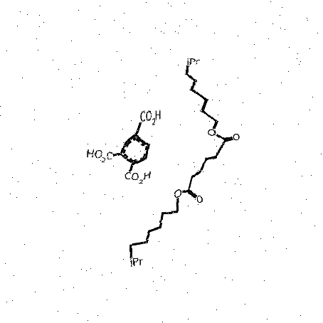 CC(C)CCCCCCOC(=O)CCCCC(=O)OCCCCCCC(C)C.O=C(O)c1ccc(C(=O)O)c(C(=O)O)c1